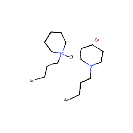 CC(=O)CCCN1CCCCC1.CC[N+]1(CCCC(C)=O)CCCCC1.[Br-]